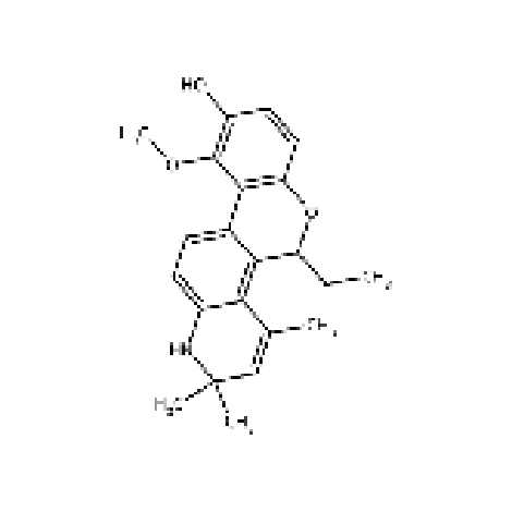 CCC1Oc2ccc(O)c(OC)c2-c2ccc3c(c21)C(C)=CC(C)(C)N3